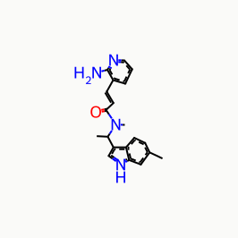 Cc1ccc2c(C(C)N(C)C(=O)C=Cc3cccnc3N)c[nH]c2c1